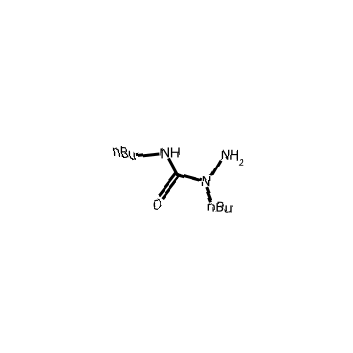 CCCCNC(=O)N(N)CCCC